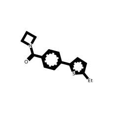 CCc1ccc(-c2ccc(C(=O)N3CCC3)cc2)s1